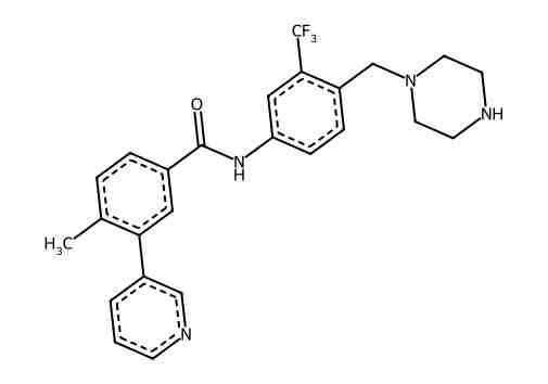 Cc1ccc(C(=O)Nc2ccc(CN3CCNCC3)c(C(F)(F)F)c2)cc1-c1cccnc1